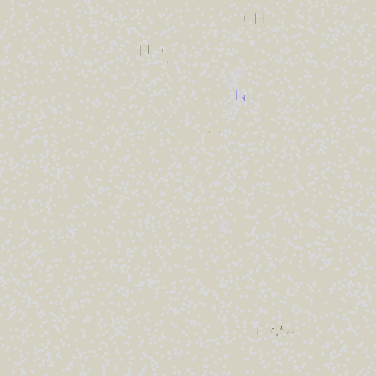 COc1ccc(F)cc1/C=C/CO/N=C(/C)C(=O)O